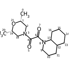 C[C@@H]1CN(C(=O)C(=O)N2CCCC3CCCCC32)C[C@H](C)O1